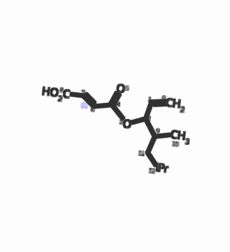 C=CC(OC(=O)/C=C/C(=O)O)C(C)CC(C)C